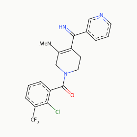 CNC1=C(C(=N)c2cccnc2)CCN(C(=O)c2cccc(C(F)(F)F)c2Cl)C1